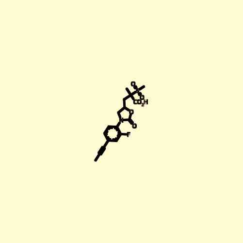 CC#Cc1ccc(N2CC(CC(C)(C(=O)O)S(C)(=O)=O)OC2=O)c(F)c1